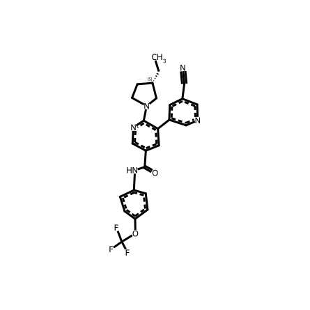 CC[C@H]1CCN(c2ncc(C(=O)Nc3ccc(OC(F)(F)F)cc3)cc2-c2cncc(C#N)c2)C1